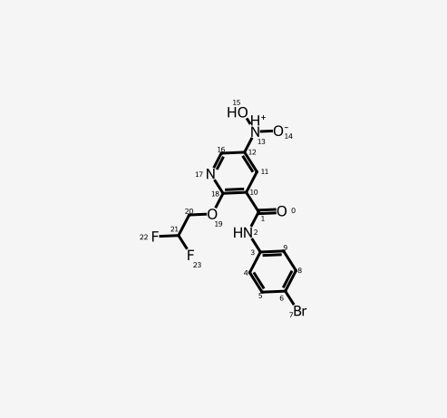 O=C(Nc1ccc(Br)cc1)c1cc([NH+]([O-])O)cnc1OCC(F)F